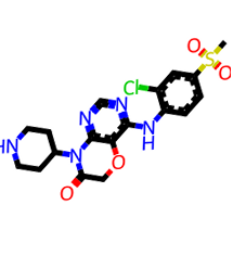 CS(=O)(=O)c1ccc(Nc2ncnc3c2OCC(=O)N3C2CCNCC2)c(Cl)c1